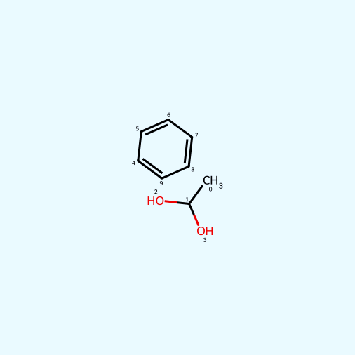 CC(O)O.c1ccccc1